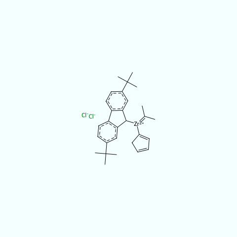 C[C](C)=[Zr+2]([C]1=CC=CC1)[CH]1c2cc(C(C)(C)C)ccc2-c2ccc(C(C)(C)C)cc21.[Cl-].[Cl-]